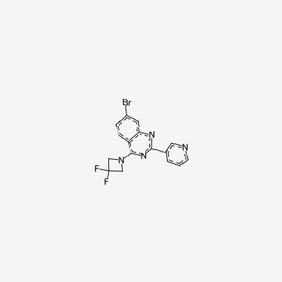 FC1(F)CN(c2nc(-c3cccnc3)nc3cc(Br)ccc23)C1